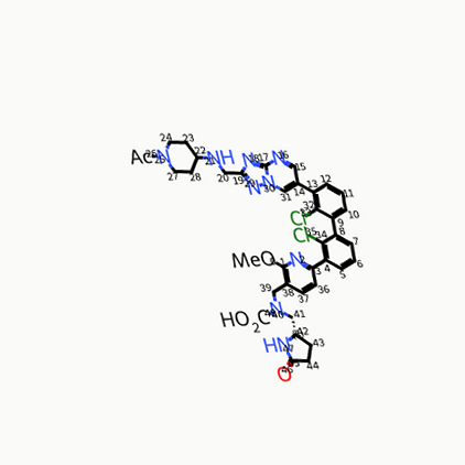 COc1nc(-c2cccc(-c3cccc(-c4cnc5nc(CNC6CCN(C(C)=O)CC6)nn5c4)c3Cl)c2Cl)ccc1CN(C[C@@H]1CCC(=O)N1)C(=O)O